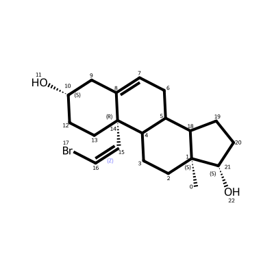 C[C@]12CCC3C(CC=C4C[C@@H](O)CC[C@@]43/C=C\Br)C1CC[C@@H]2O